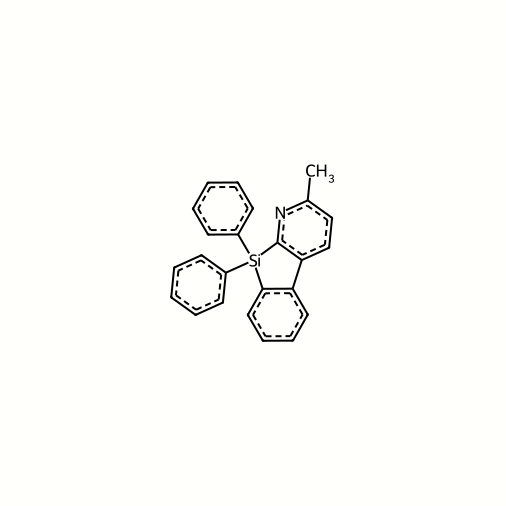 Cc1ccc2c(n1)[Si](c1ccccc1)(c1ccccc1)c1ccccc1-2